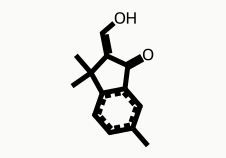 Cc1ccc2c(c1)C(=O)/C(=C\O)C2(C)C